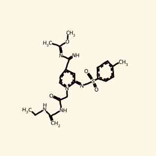 C=C(NCC)NC(=O)Cn1ccc(C(=N)/N=C(/C)OC)c/c1=N\S(=O)(=O)c1ccc(C)cc1